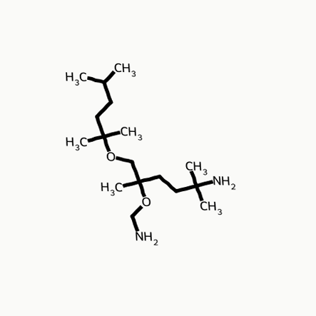 CC(C)CCC(C)(C)OCC(C)(CCC(C)(C)N)OCN